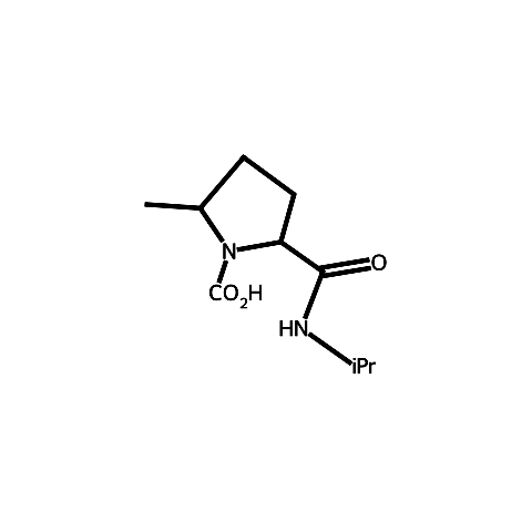 CC(C)NC(=O)C1CCC(C)N1C(=O)O